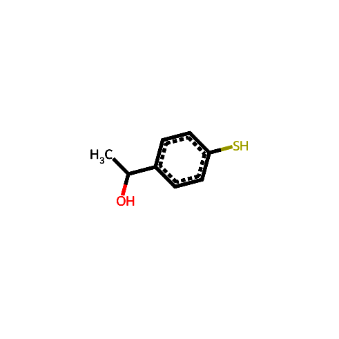 CC(O)c1ccc(S)cc1